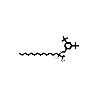 CCCCCCCCCCCCCC(O)(SCc1cc(C(C)(C)C)cc(C(C)(C)C)c1)C(=O)O